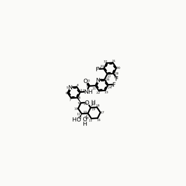 O=C(Nc1cnccc1[C@@H]1C[C@H](O)[C@]2(O)CCCC[C@@H]2O1)c1ccc(F)c(-c2c(F)cccc2F)n1